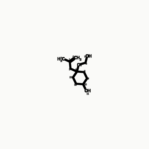 C=C(C)CC1(OCO)CCC(O)CC1